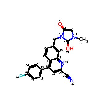 CN1CC(=O)N(Cc2ccc3c(-c4ccc(F)cc4)cc(C#N)nc3c2)C1O